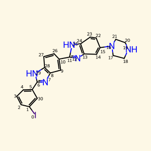 Ic1cccc(-c2nc3cc(-c4nc5cc(N6CCNCC6)ccc5[nH]4)ccc3[nH]2)c1